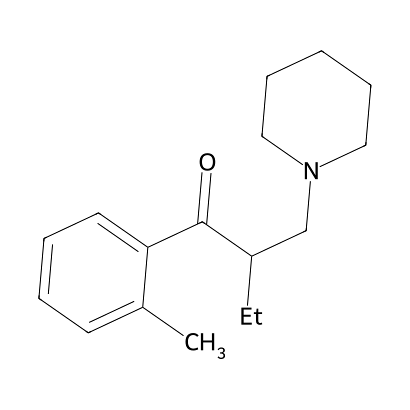 CCC(CN1CCCCC1)C(=O)c1ccccc1C